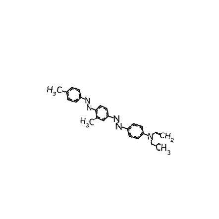 C=CN(CC)c1ccc(N=Nc2ccc(N=Nc3ccc(C)cc3)c(C)c2)cc1